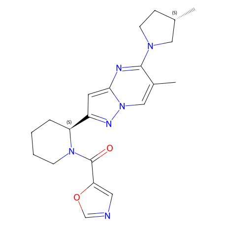 Cc1cn2nc([C@@H]3CCCCN3C(=O)c3cnco3)cc2nc1N1CC[C@H](C)C1